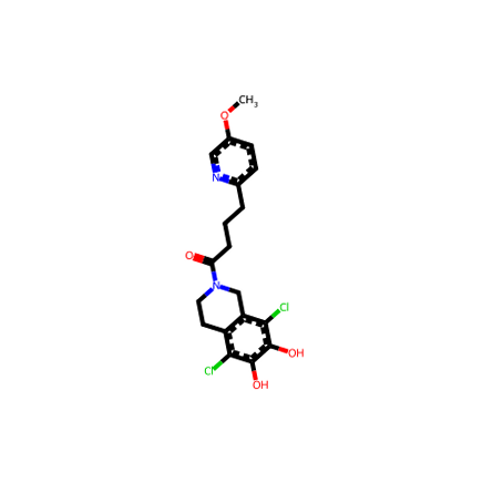 COc1ccc(CCCC(=O)N2CCc3c(Cl)c(O)c(O)c(Cl)c3C2)nc1